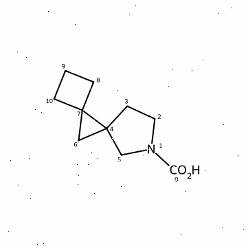 O=C(O)N1CCC2(C1)CC21CCC1